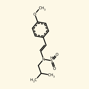 COc1ccc(C=CN(CC(C)C)[SH](=O)=O)cc1